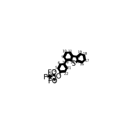 O=S(=O)(Oc1ccc(-c2cccc3c2sc2ccccc23)cc1)C(F)(F)F